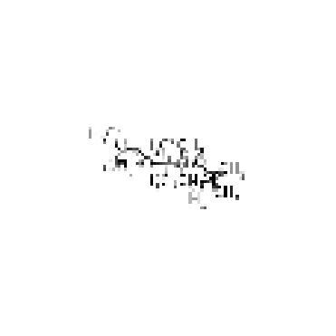 C[SiH](C)COC(C)(C)[Si](C)(C)O[Si](C)(C)C